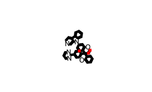 c1cnc(-c2ccc3c(c2)Oc2ccccc2C32c3ccccc3Oc3cc(-n4c5ccccc5c5ccncc54)ccc32)nc1